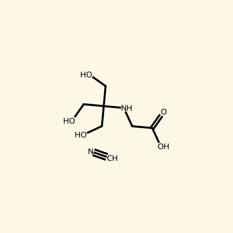 C#N.O=C(O)CNC(CO)(CO)CO